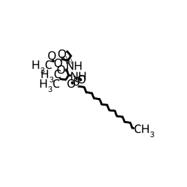 CCCCCCCCCCCCCCCCS(=O)(=O)NC(CC(C)C)C(=O)N[C@H]1CCO[C@H]1OC(C)=O